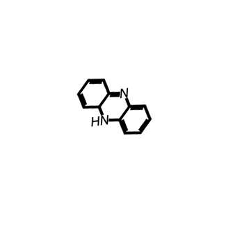 C1=CC2=Nc3ccccc3NC2C=C1